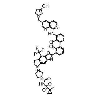 CC1(S(=O)(=O)NC(=O)[C@@H]2CCN([C@@H]3CCc4c3cc3nc(-c5cccc(-c6cccc(Nc7nccc8cc(CN9CC[C@@H](O)C9)cnc78)c6Cl)c5Cl)oc3c4C(F)(F)F)C2)CC1